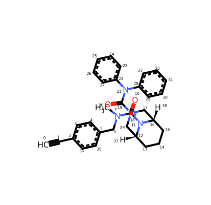 C#Cc1ccc(CN(C)C(=O)N2[C@@H]3CCC[C@H]2CN(C(=O)N(c2ccccc2)c2ccccc2)C3)cc1